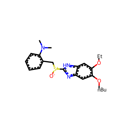 CCCCOc1cc2nc([S+]([O-])Cc3ccccc3N(C)C)[nH]c2cc1OCC